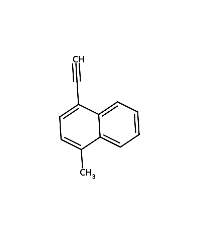 C#Cc1ccc(C)c2ccccc12